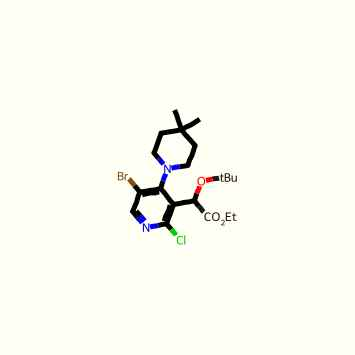 CCOC(=O)C(OC(C)(C)C)c1c(Cl)ncc(Br)c1N1CCC(C)(C)CC1